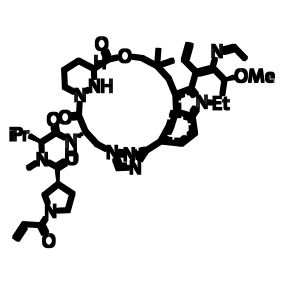 C=CC(=O)N1CC[C@H](C(=O)N(C)[C@H](C(=O)N[C@H]2Cn3cnc(n3)-c3ccc4c(c3)c(c(/C(C=C)=C(/N=C\C)[C@H](C)OC)n4CC)CC(C)(C)COC(=O)[C@@H]3CCCN(N3)C2=O)C(C)C)C1